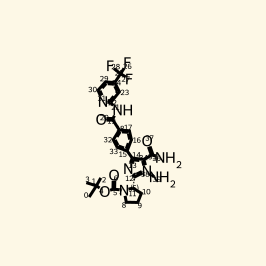 CC(C)(C)OC(=O)N1CCC[C@H]1c1nc(-c2ccc(C(=O)Nc3cc(C(F)(F)F)ccn3)cc2)c(C(N)=O)n1N